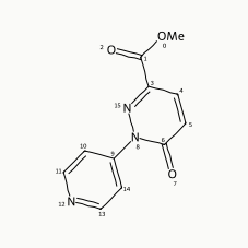 COC(=O)c1ccc(=O)n(-c2ccncc2)n1